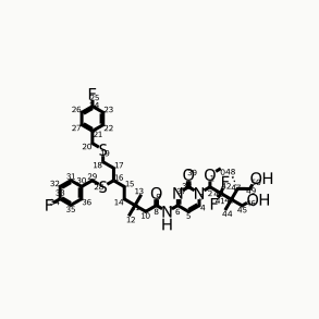 COC(n1ccc(NC(=O)CC(C)(C)CCC(CCSCc2ccc(F)cc2)SCc2ccc(F)cc2)nc1=O)C(F)(F)C(C)(CO)[C@H](C)CO